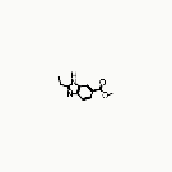 CCc1nc2ccc(C(=O)OC)cc2[nH]1